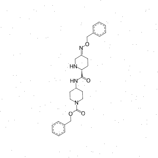 O=C(NC1CCN(C(=O)OCc2ccccc2)CC1)[C@@H]1CC/C(=N\OCc2ccccc2)CN1